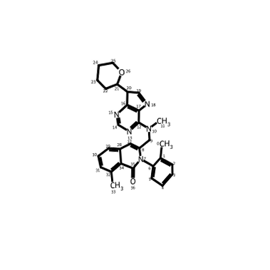 Cc1ccccc1-n1c(CN(C)c2ncnc3c2N=CC3C2CCCCO2)cc2cccc(C)c2c1=O